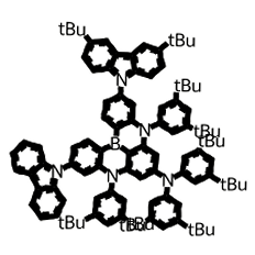 CC(C)(C)c1cc(N(c2cc(C(C)(C)C)cc(C(C)(C)C)c2)c2cc3c4c(c2)N(c2cc(C(C)(C)C)cc(C(C)(C)C)c2)c2cc(-n5c6ccc(C(C)(C)C)cc6c6cc(C(C)(C)C)ccc65)ccc2B4c2ccc(-n4c5ccccc5c5ccccc54)cc2N3c2cc(C(C)(C)C)cc(C(C)(C)C)c2)cc(C(C)(C)C)c1